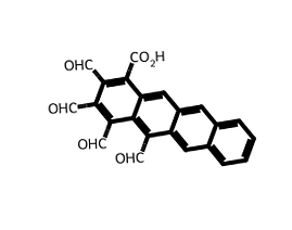 O=Cc1c(C=O)c(C=O)c2c(C=O)c3cc4ccccc4cc3cc2c1C(=O)O